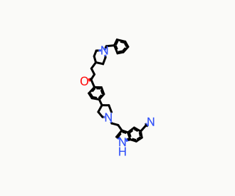 N#Cc1ccc2[nH]cc(CCN3CCC(c4ccc(C(=O)CCC5CCN(Cc6ccccc6)CC5)cc4)CC3)c2c1